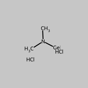 C[N](C)[Ge].Cl.Cl